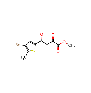 COC(=O)C(=O)CC(=O)c1cc(Br)c(C)s1